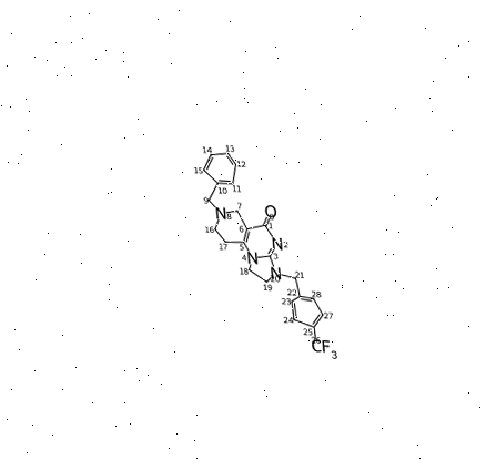 O=c1nc2n(c3c1CN(Cc1ccccc1)CC3)CCN2Cc1ccc(C(F)(F)F)cc1